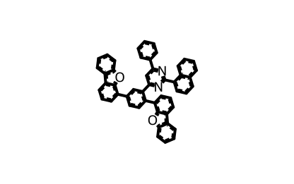 c1ccc(-c2cc(-c3cc(-c4cccc5c4oc4ccccc45)ccc3-c3cccc4c3oc3ccccc34)nc(-c3cccc4ccccc34)n2)cc1